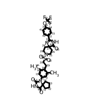 Cc1cc(N2C(=O)NC(=O)C23CCCC3)cc(C)c1CCS(=O)(=O)N1CCC2(CC1)N=C(c1ccc(OC(F)(F)F)cc1)NC2=O